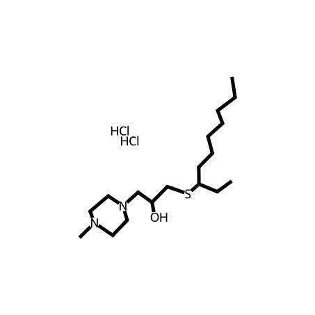 CCCCCCCC(CC)SCC(O)CN1CCN(C)CC1.Cl.Cl